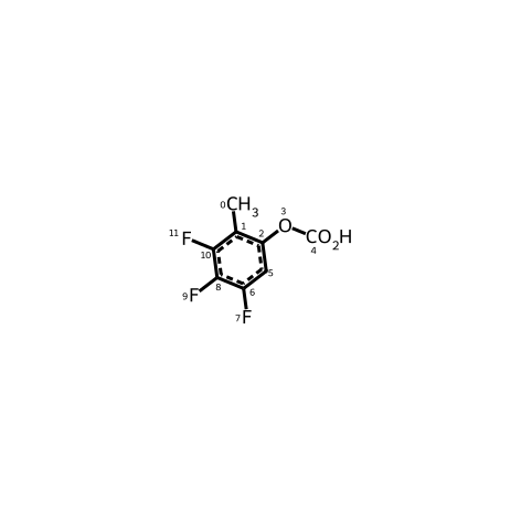 Cc1c(OC(=O)O)cc(F)c(F)c1F